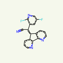 N#CC(=C1c2cccnc2-c2ncccc21)c1cc(F)cnc1F